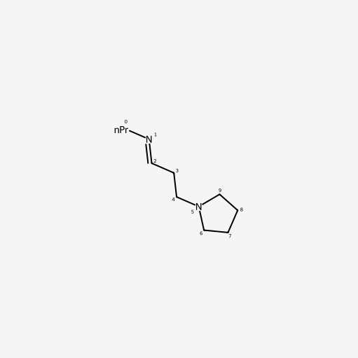 CCCN=CCCN1CCCC1